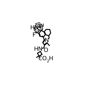 Cc1c(C(=O)N[C@H]2C[C@](C)(C(=O)O)C2)cc2n1CC1CCCC3=C1C2(C)C=C(C(F)F)C3(C)S(=O)(=O)NC(C)(C)C